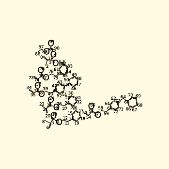 C=C(C)C(=O)O.C=C(C)C(=O)OCCc1ccccc1.C=C(C)C(=O)OCCc1ccccc1.C=CC(=O)OCCc1ccc(-c2ccccc2)cc1.C=CC(=O)OCCc1ccc(Cc2ccccc2)cc1.C=CC(=O)OCCc1ccccc1.CCOC(C)=O